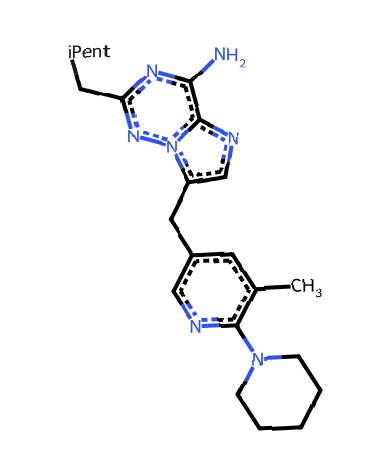 CCCC(C)Cc1nc(N)c2ncc(Cc3cnc(N4CCCCC4)c(C)c3)n2n1